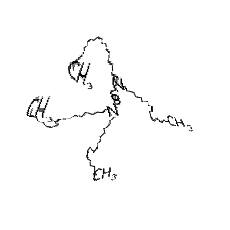 CCCCC/C=C\C/C=C\CCCCCCCCN(CCCCCCCC/C=C\C/C=C\CCCCC)CCSSCCN(CCCCCCCC/C=C\C/C=C\CCCCC)CCCCCCCC/C=C\C/C=C\CCCCC